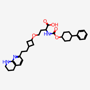 O=C(NC(CCOC1CC(CCc2ccc3c(n2)NCCC3)C1)C(=O)O)OC1CCC(c2ccccc2)CC1